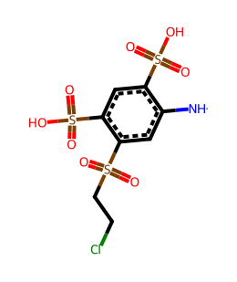 [NH]c1cc(S(=O)(=O)CCCl)c(S(=O)(=O)O)cc1S(=O)(=O)O